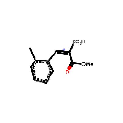 COC(=O)/C(=C\c1ccccc1C)C(=O)O